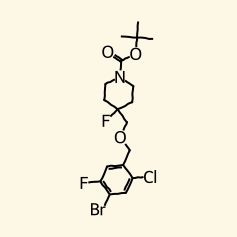 CC(C)(C)OC(=O)N1CCC(F)(COCc2cc(F)c(Br)cc2Cl)CC1